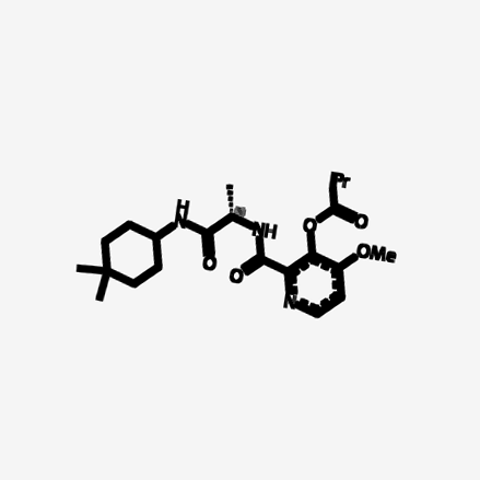 COc1ccnc(C(=O)N[C@@H](C)C(=O)NC2CCC(C)(C)CC2)c1OC(=O)C(C)C